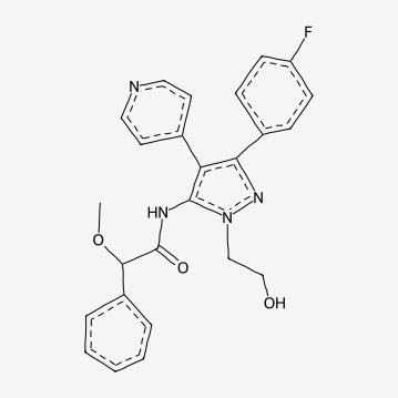 COC(C(=O)Nc1c(-c2ccncc2)c(-c2ccc(F)cc2)nn1CCO)c1ccccc1